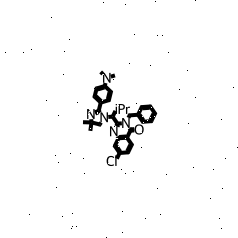 CC(C)C(c1nc2cc(Cl)ccc2c(=O)n1Cc1ccccc1)N1CC(C)(C)N=C1c1ccc(N(C)C)cc1